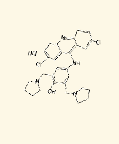 Cl.Oc1c(CN2CCCC2)cc(Nc2c3cc(Cl)ccc3nc3ccc(Cl)cc23)cc1CN1CCCC1